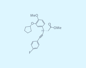 COC(=O)C[C@H](C#Cc1ccc(F)cc1)c1ccc(OC)c(OC2CCCC2)c1